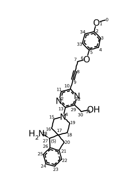 COc1ccc(OCC#Cc2cnc(N3CCC4(CC3)Cc3ccccc3[C@H]4N)c(CO)n2)cc1